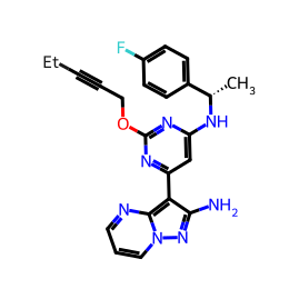 CCC#CCOc1nc(N[C@@H](C)c2ccc(F)cc2)cc(-c2c(N)nn3cccnc23)n1